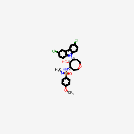 CN=S(=O)(N[C@@H]1CCOCC[C@@H](n2c3ccc(Cl)cc3c3cc(Cl)ccc32)[C@H]1O)c1ccc(OC(F)(F)F)cc1